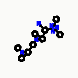 N#Cc1cc(-c2nc(-c3ccccc3)nc(-c3ccccc3)n2)cc(-c2cccc3c2c2ccccc2n3-c2ccc(-c3ccc4c5ccccc5n(-c5ccccc5)c4c3)cc2)c1